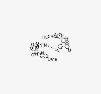 CC[C@@]1(OC(=O)N2CCN(CCCCCCN(C)c3ccc([C@H]4C[C@@]5(C)[C@@H](CC[C@]5(OC(C)=O)C(C)=O)[C@@H]5CCC6=CC(=O)CCC6=C54)cc3)CC2)C(=O)OCc2c1cc1n(c2=O)Cc2cc3cc(OC)ccc3nc2-1.O=CO